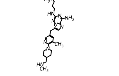 CCCCNc1nc(N)c2ncc(Cc3cnc(N4CCC(CNC)CC4)c(C)c3)n2n1